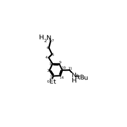 CCc1cc(CCCCN)cc(CNC(C)(C)C)c1